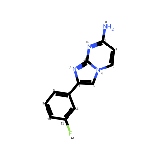 Nc1ccn2cc(-c3cccc(F)c3)nc2n1